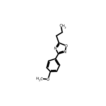 CCCc1nc(-c2ccc(OC)cc2)no1